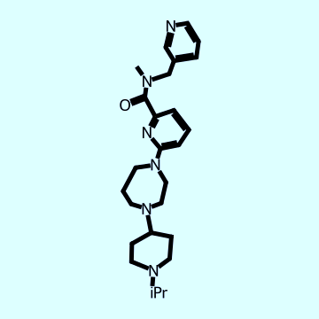 CC(C)N1CCC(N2CCCN(c3cccc(C(=O)N(C)Cc4cccnc4)n3)CC2)CC1